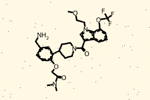 COCCn1cc(C(=O)N2CCC(c3cc(CN)ccc3OCC(=O)N(C)C)CC2)c2cccc(OC(F)(F)F)c21